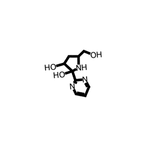 OCC1CC(O)C(O)(c2ncccn2)N1